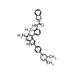 Cc1c(NC(=O)N2Cc3ccccc3C2)cccc1-c1nc(N)nc2[nH]c(-c3ccc(N4CCN(C)C(C)C4)cc3)cc12